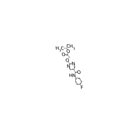 CC(C)OC(=O)COc1ncc(C(=O)Nc2ccc(F)cc2)cn1